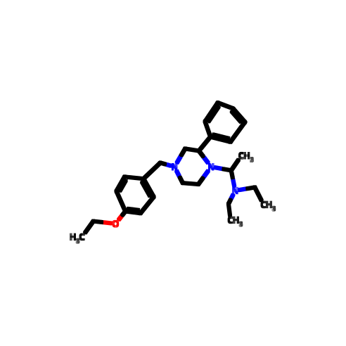 CCOc1ccc(CN2CCN(C(C)N(CC)CC)C(c3ccccc3)C2)cc1